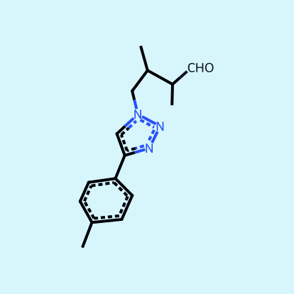 Cc1ccc(-c2cn(CC(C)C(C)C=O)nn2)cc1